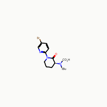 CC(C)(C)N(C(=O)O)[C@H]1CCCN(c2ccc(Br)cn2)C1=O